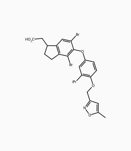 Cc1cc(COc2ccc(Oc3c(Br)cc4c(c3Br)CCC4CC(=O)O)cc2C(C)C)no1